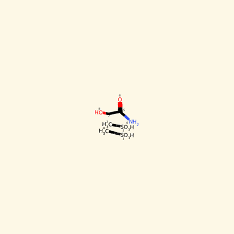 CS(=O)(=O)O.CS(=O)(=O)O.NC(=O)CO